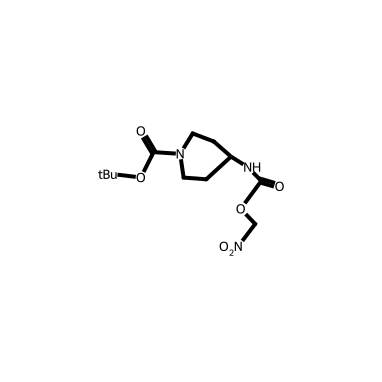 CC(C)(C)OC(=O)N1CCC(NC(=O)OC[N+](=O)[O-])CC1